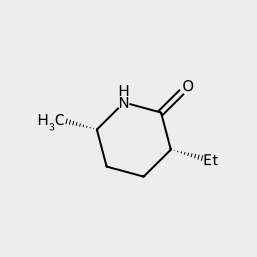 CC[C@@H]1CC[C@H](C)NC1=O